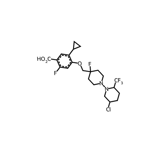 O=C(O)c1cc(C2CC2)c(OCC2(F)CCN(N3CC(Cl)CCC3C(F)(F)F)CC2)cc1F